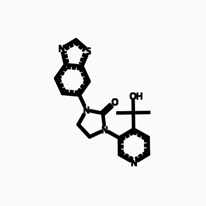 CC(C)(O)c1ccncc1N1CCN(c2ccc3ncsc3c2)C1=O